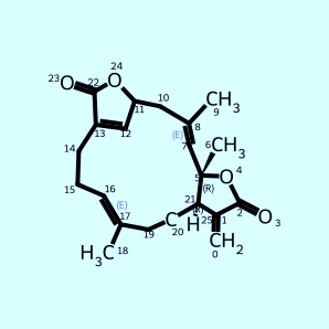 C=C1C(=O)O[C@@]2(C)/C=C(\C)CC3C=C(CC/C=C(\C)CC[C@H]12)C(=O)O3